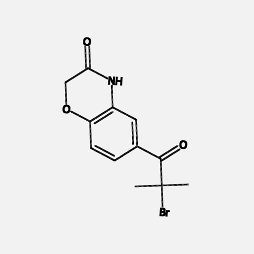 CC(C)(Br)C(=O)c1ccc2c(c1)NC(=O)CO2